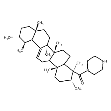 CC(=O)O[C@@H]1CC[C@@]2(C)C(CC[C@]3(C)C2CC=C2C4[C@@H](C)[C@H](C)CC[C@]4(C)CC[C@]23C)[C@@]1(C)C(=O)N1CCNCC1